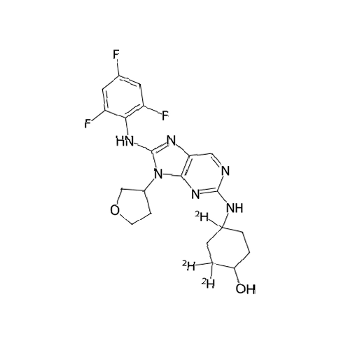 [2H]C1(Nc2ncc3nc(Nc4c(F)cc(F)cc4F)n(C4CCOC4)c3n2)CCC(O)C([2H])([2H])C1